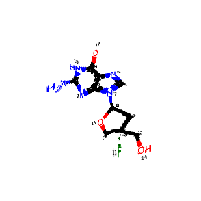 Nc1nc2c(ncn2[C@H]2C[C@@](F)(CO)CO2)c(=O)[nH]1